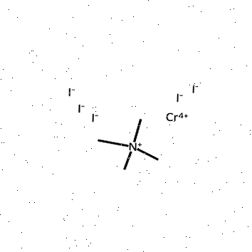 C[N+](C)(C)C.[Cr+4].[I-].[I-].[I-].[I-].[I-]